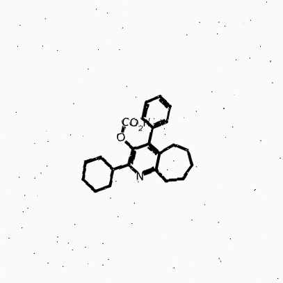 O=C(O)Oc1c(C2CCCCC2)nc2c(c1-c1ccccc1)CCCCC2